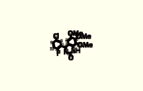 COc1cc2c(-c3cc(Cl)ccc3F)nc(=O)[nH]c2c(OC)c1OC